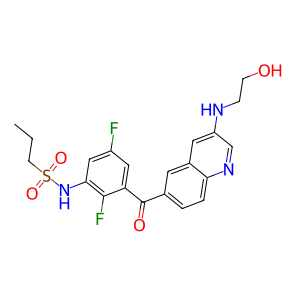 CCCS(=O)(=O)Nc1cc(F)cc(C(=O)c2ccc3ncc(NCCO)cc3c2)c1F